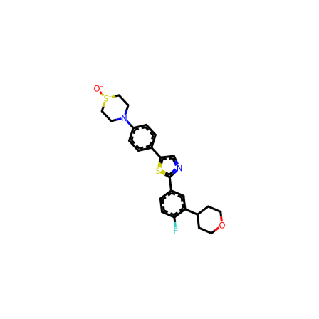 [O-][S+]1CCN(c2ccc(-c3cnc(-c4ccc(F)c(C5CCOCC5)c4)s3)cc2)CC1